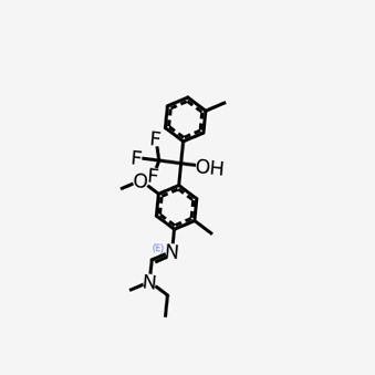 CCN(C)/C=N/c1cc(OC)c(C(O)(c2cccc(C)c2)C(F)(F)F)cc1C